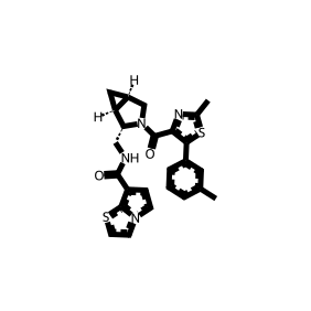 Cc1cccc(-c2sc(C)nc2C(=O)N2C[C@@H]3C[C@@H]3[C@H]2CNC(=O)c2ccn3ccsc23)c1